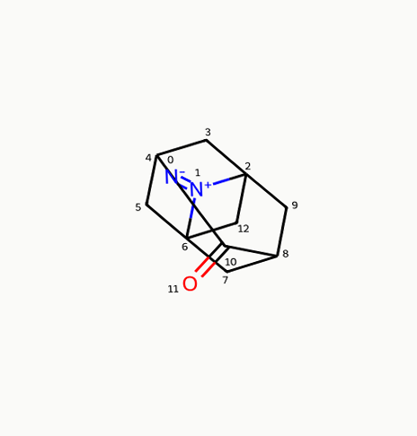 [N-]=[N+]1C23CC4CC1(CC(C2)C4=O)C3